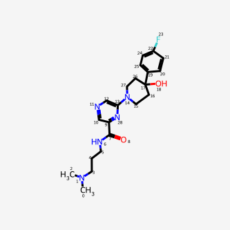 CN(C)CCCNC(=O)c1cncc(N2CCC(O)(c3ccc(F)cc3)CC2)n1